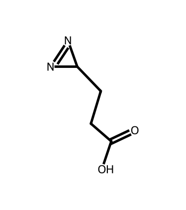 O=C(O)CCC1N=N1